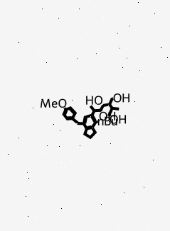 CCCCc1c(C(C)C(O)C(O)C(CO)C(C)CO)cc(Cc2ccc(OC)cc2)c2c1CCC2